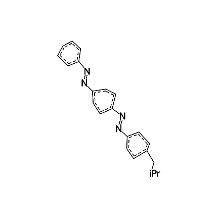 CC(C)Cc1ccc(N=Nc2ccc(N=Nc3ccccc3)cc2)cc1